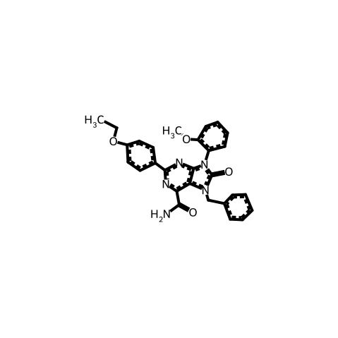 CCOc1ccc(-c2nc(C(N)=O)c3c(n2)n(-c2ccccc2OC)c(=O)n3Cc2ccccc2)cc1